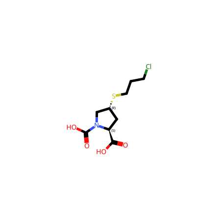 O=C(O)[C@@H]1C[C@@H](SCCCCl)CN1C(=O)O